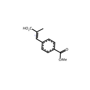 COC(=O)c1ccc(/C=C(\C)C(=O)O)cc1